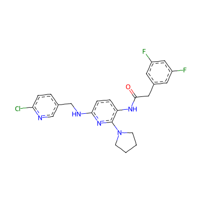 O=C(Cc1cc(F)cc(F)c1)Nc1ccc(NCc2ccc(Cl)nc2)nc1N1CCCC1